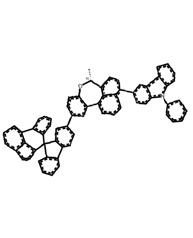 C[C@H]1Oc2ccc(-c3ccc4c(c3)C3(c5ccccc5-4)c4ccccc4-c4cccc5cccc3c45)cc2-c2cccc3c(-c4ccc5c(c4)c4ccccc4n5-c4ccccc4)ccc1c23